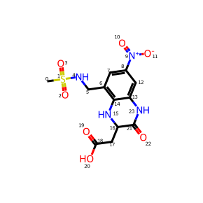 CS(=O)(=O)NCc1cc([N+](=O)[O-])cc2c1NC(CC(=O)O)C(=O)N2